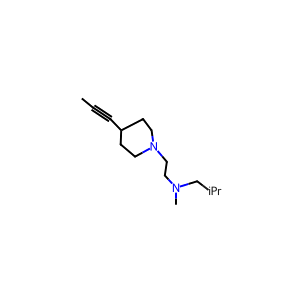 CC#CC1CCN(CCN(C)CC(C)C)CC1